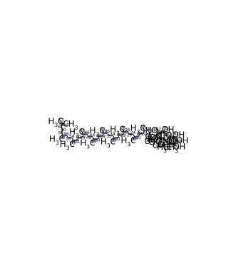 CC(=O)N[C@H]1[C@@H](OP(=O)(O)OP(=O)(O)OC/C=C(/C)CC/C=C(/C)CC/C=C(/C)CC/C=C(/C)CC/C=C(/C)CC/C=C(/C)CC/C=C(/C)CC/C=C(/C)CC/C=C(\C)CCC=C(C)C)O[C@H](CO)[C@@H](O)[C@@H]1O[C@@H]1O[C@@H](C)[C@H](O)[C@@H](O)[C@H]1O